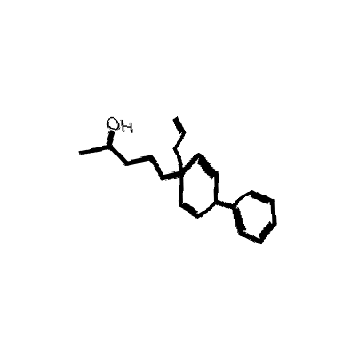 C=CCC1(CCCC(C)O)C=CC(c2ccccc2)C=C1